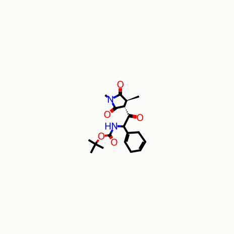 C[C@@H]1C(=O)N(C)C(=O)[C@H]1C(=O)C(NC(=O)OC(C)(C)C)C1=CCC=CC1